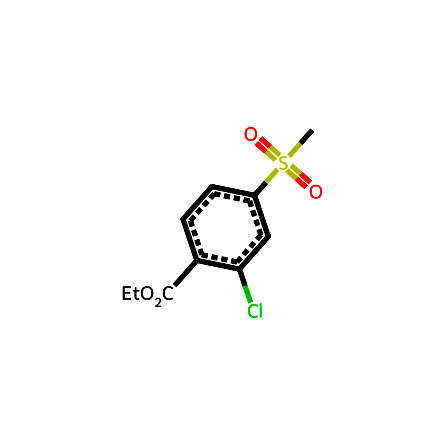 CCOC(=O)c1ccc(S(C)(=O)=O)cc1Cl